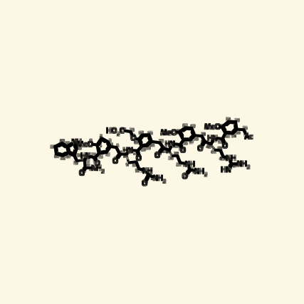 COc1ccc(CC(=O)[C@@H](CCCNC(N)=O)NC(=O)c2cc(CC(=O)[C@@H](CCCNC(N)=O)NC(=O)c3cc(CC(=O)[C@@H](CCCNC(=N)N)NC(=O)c4cc(CC(C)=O)ccc4OC)ccc3OC)ccc2OCC(=O)O)cc1C(=O)N[C@H](Cc1c[nH]c2ccccc12)C(N)=O